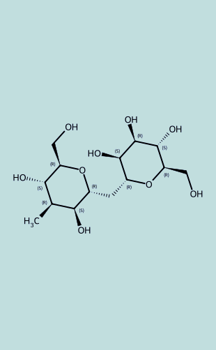 C[C@H]1[C@H](O)[C@@H](CO)O[C@H](C[C@H]2O[C@H](CO)[C@@H](O)[C@H](O)[C@@H]2O)[C@H]1O